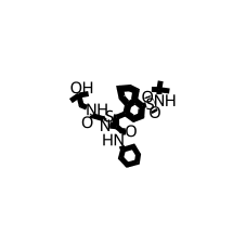 CC(C)(O)CNC(=O)c1nc(C(=O)NC2CCCCC2)c(-c2ccc(S(=O)(=O)NC(C)(C)C)c3ccccc23)s1